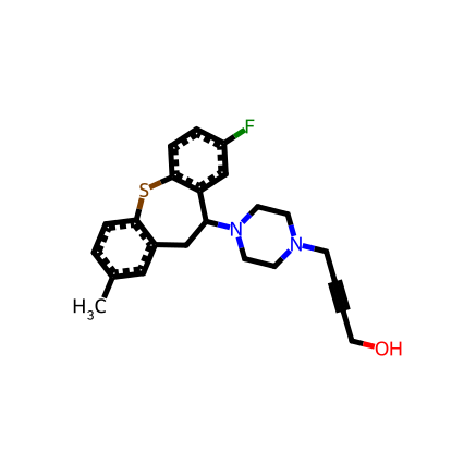 Cc1ccc2c(c1)CC(N1CCN(CC#CCO)CC1)c1cc(F)ccc1S2